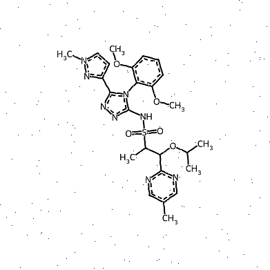 COc1cccc(OC)c1-n1c(NS(=O)(=O)C(C)C(OC(C)C)c2ncc(C)cn2)nnc1-c1ccn(C)n1